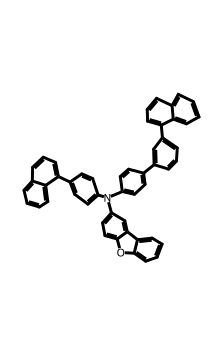 c1cc(-c2ccc(N(c3ccc(-c4cccc5ccccc45)cc3)c3ccc4oc5ccccc5c4c3)cc2)cc(-c2cccc3ccccc23)c1